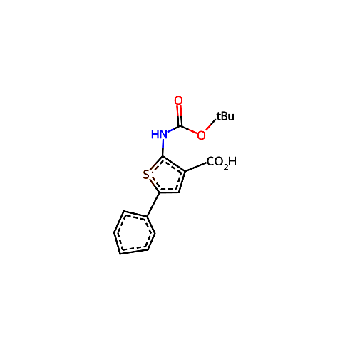 CC(C)(C)OC(=O)Nc1sc(-c2ccccc2)cc1C(=O)O